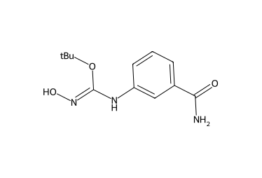 CC(C)(C)OC(=NO)Nc1cccc(C(N)=O)c1